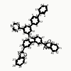 c1ccc(-c2ccc(-c3cc(-c4ncncn4)cc(-n4c5ccc(-c6nc7ccccc7o6)cc5c5cc(-c6nc7ccccc7o6)ccc54)c3)cc2)cc1